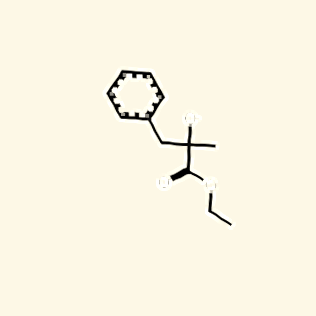 CCOC(=O)C(C)([O])Cc1ccccc1